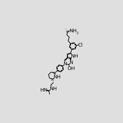 CC(=N)NCC[C@@H]1CCC[C@@H](c2ccc(N3C=c4cc(-c5cc(Cl)cc(CCC[C@H](C)N)c5)[nH]c4=NC3O)cc2)N1